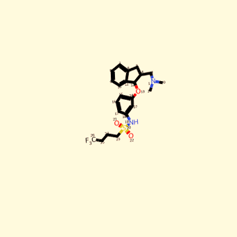 CN(C)CC1Cc2ccccc2C1Oc1cccc(NS(=O)(=O)CCCC(F)(F)F)c1